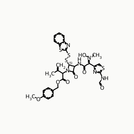 C=C(C)C(C(=O)OCc1ccc(OC)cc1)N1C(=O)C(NC(=O)C(c2csc(NC=O)n2)=[N+](C)O)[C@@H]1SSc1nc2ccccc2s1